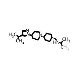 CC(C)NC[C@H]1CC[C@H](N2CCC(n3cc(C(C)C)cn3)CC2)CC1